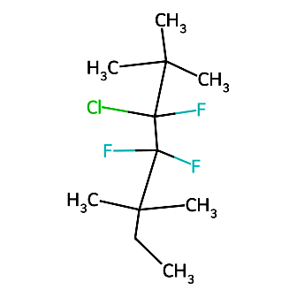 CCC(C)(C)C(F)(F)C(F)(Cl)C(C)(C)C